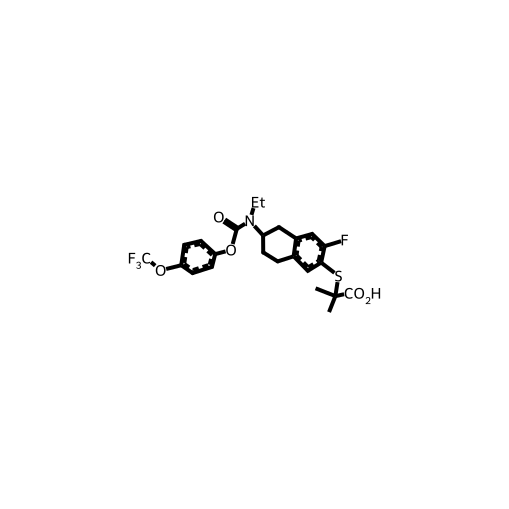 CCN(C(=O)Oc1ccc(OC(F)(F)F)cc1)C1CCc2cc(SC(C)(C)C(=O)O)c(F)cc2C1